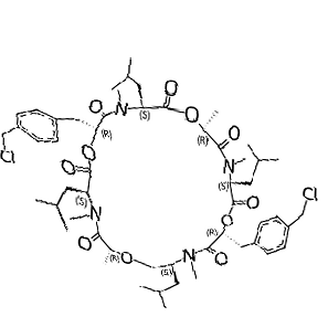 CC(C)C[C@H]1CO[C@H](C)C(=O)N(C)[C@@H](CC(C)C)C(=O)O[C@H](Cc2ccc(CCl)cc2)C(=O)N(C)[C@@H](CC(C)C)C(=O)O[C@H](C)C(=O)N(C)[C@@H](CC(C)C)C(=O)O[C@H](Cc2ccc(CCl)cc2)C(=O)N1C